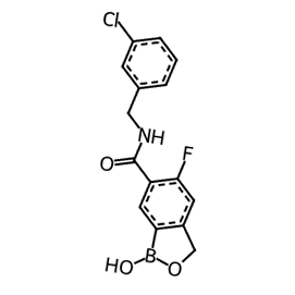 O=C(NCc1cccc(Cl)c1)c1cc2c(cc1F)COB2O